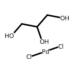 OCC(O)CO.[Cl][Pd][Cl]